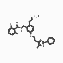 Cc1oc(-c2ccccc2)nc1CCOc1ccc(CCC(=O)O)c(CNC(=O)c2c(F)cccc2F)c1